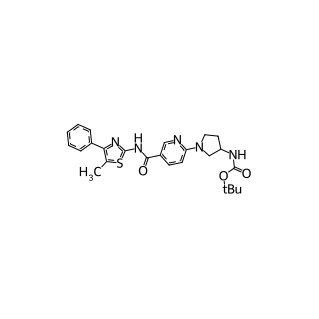 Cc1sc(NC(=O)c2ccc(N3CCC(NC(=O)OC(C)(C)C)C3)nc2)nc1-c1ccccc1